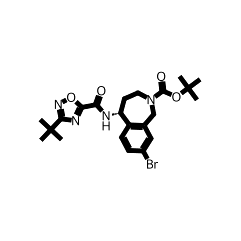 CC(C)(C)OC(=O)N1CC[C@@H](NC(=O)c2nc(C(C)(C)C)no2)c2ccc(Br)cc2C1